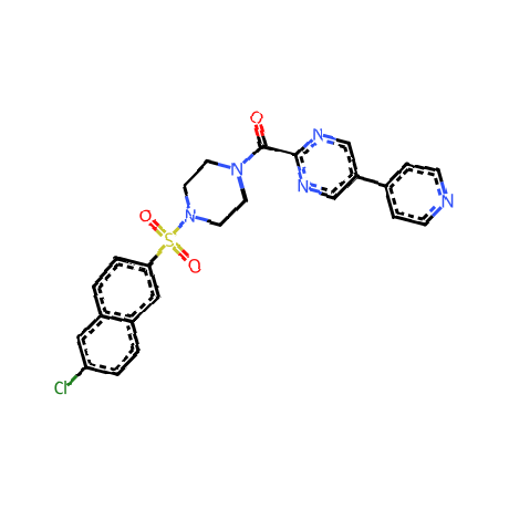 O=C(c1ncc(-c2ccncc2)cn1)N1CCN(S(=O)(=O)c2ccc3cc(Cl)ccc3c2)CC1